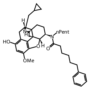 CCCCCN(C(=O)CCCCCc1ccccc1)[C@@H]1CC[C@H]2[C@H]3Cc4c(O)cc(OC)c5c4[C@@]2(CCN3CC2CC2)[C@H]1O5